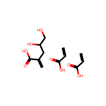 C=C(CC(O)CO)C(=O)O.C=CC(=O)O.C=CC(=O)O